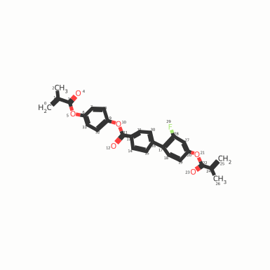 C=C(C)C(=O)Oc1ccc(OC(=O)c2ccc(-c3ccc(OC(=O)C(=C)C)cc3F)cc2)cc1